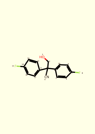 N#CC(CO)(c1ccc(F)cc1)c1ccc(F)cc1